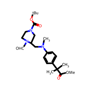 COC(=O)C(C)(C)c1ccc(N(C)CC2CN(C(=O)OC(C)(C)C)CCN2C=O)cc1